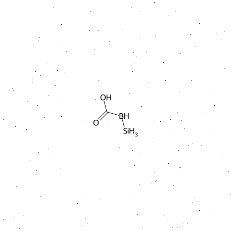 O=C(O)B[SiH3]